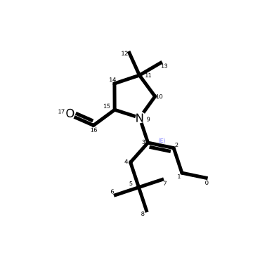 CC/C=C(\CC(C)(C)C)N1CC(C)(C)CC1C=O